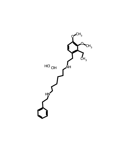 CCc1c(CCNCCCCCCNCCc2ccccc2)ccc(OC)c1OC.Cl.Cl